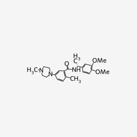 COc1ccc([C@@H](C)NC(=O)c2cc(N3CCN(C)CC3)ccc2C)cc1OC